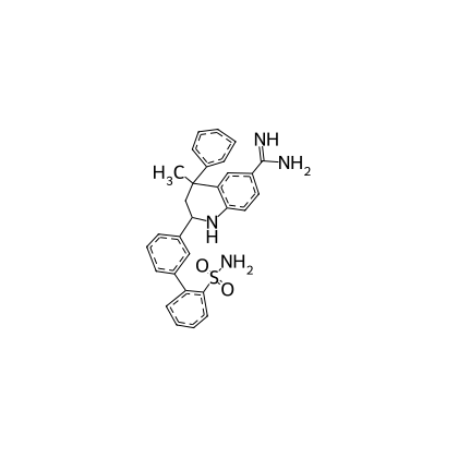 CC1(c2ccccc2)CC(c2cccc(-c3ccccc3S(N)(=O)=O)c2)Nc2ccc(C(=N)N)cc21